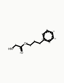 [NH]CC(=O)OCCCc1ccccc1